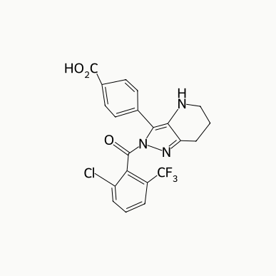 O=C(O)c1ccc(-c2c3c(nn2C(=O)c2c(Cl)cccc2C(F)(F)F)CCCN3)cc1